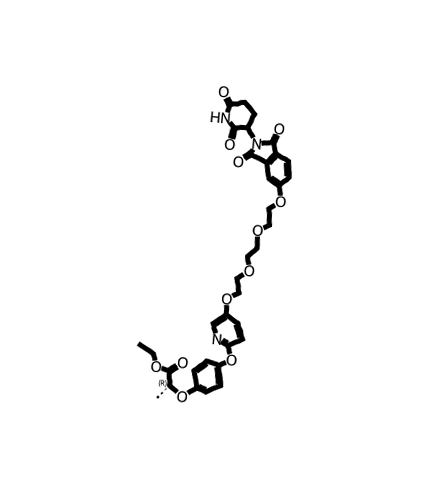 CCOC(=O)[C@@H](C)Oc1ccc(Oc2ccc(OCCOCCOCCOc3ccc4c(c3)C(=O)N(C3CCC(=O)NC3=O)C4=O)cn2)cc1